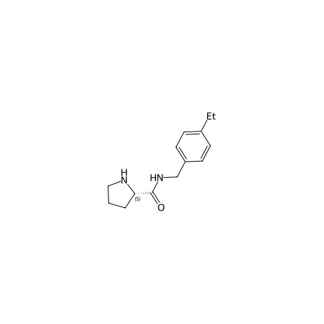 CCc1ccc(CNC(=O)[C@@H]2CCCN2)cc1